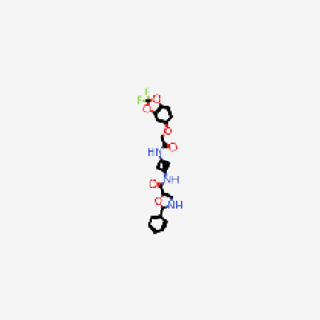 O=C(COc1ccc2c(c1)OC(F)(F)O2)NC12CC(NC(=O)C3CNC(c4ccccc4)O3)(C1)C2